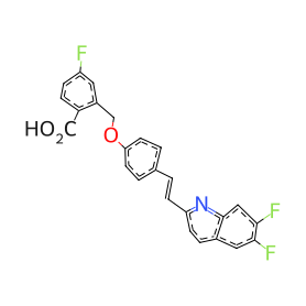 O=C(O)c1ccc(F)cc1COc1ccc(C=Cc2ccc3cc(F)c(F)cc3n2)cc1